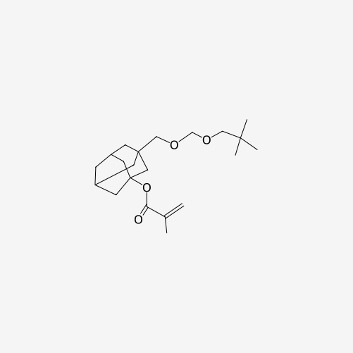 C=C(C)C(=O)OC12CC3CC(CC(COCOCC(C)(C)C)(C3)C1)C2